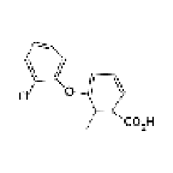 Cc1c(Oc2ccccc2Cl)cccc1C(=O)O